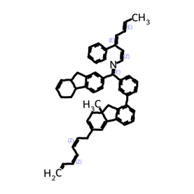 C=C/C=C\C=C/CC1=CCC2(C)Cc3c(cccc3-c3cccc(\C(=N/C=C\C(=C/C=C/C)c4ccccc4)c4ccc5c(c4)CC4C=CCCC54)c3)C2=C1